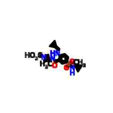 CC1(NC(=O)c2cc(S(=O)(=O)NC3(C)CC3)ccc2NCC2CC2)CN(C(=O)O)C1